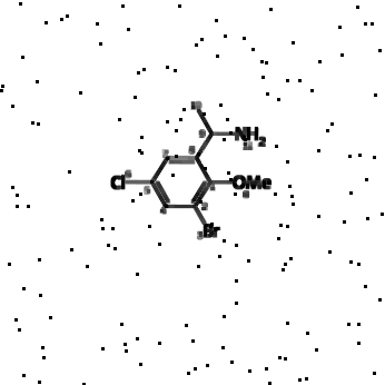 COc1c(Br)cc(Cl)cc1C(C)N